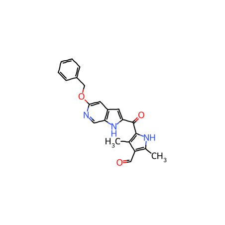 Cc1[nH]c(C(=O)c2cc3cc(OCc4ccccc4)ncc3[nH]2)c(C)c1C=O